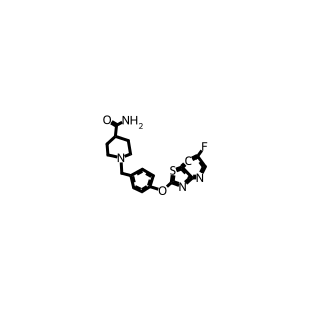 NC(=O)C1CCN(Cc2ccc(Oc3nc4ncc(F)cc4s3)cc2)CC1